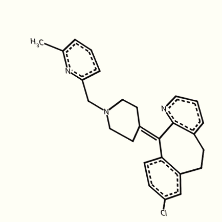 Cc1cccc(CN2CCC(=C3c4ccc(Cl)cc4CCc4cccnc43)CC2)n1